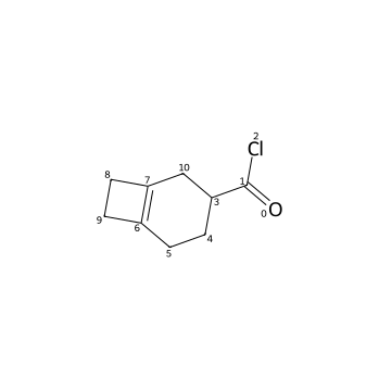 O=C(Cl)C1CCC2=C(CC2)C1